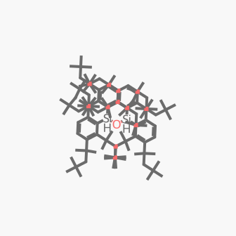 CC(C)(C)CC(C)(C)c1ccc(C(C)(C)CC(C)(C)C)c(C(C)(C)CC(C)(C)C)c1[SiH](O[SiH](c1c(C(C)(C)CC(C)(C)C)ccc(C(C)(C)CC(C)(C)C)c1C(C)(C)CC(C)(C)C)c1c(C(C)(C)CC(C)(C)C)ccc(C(C)(C)CC(C)(C)C)c1C(C)(C)CC(C)(C)C)c1c(C(C)(C)CC(C)(C)C)ccc(C(C)(C)CC(C)(C)C)c1C(C)(C)CC(C)(C)C